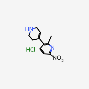 Cc1nc([N+](=O)[O-])ccc1C1=CCNCC1.Cl